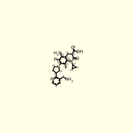 NCc1cccnc1C1CCN(c2c(F)c(N)c3c(c2F)N(C2CC2)C(=O)C(C(=O)O)C3)C1